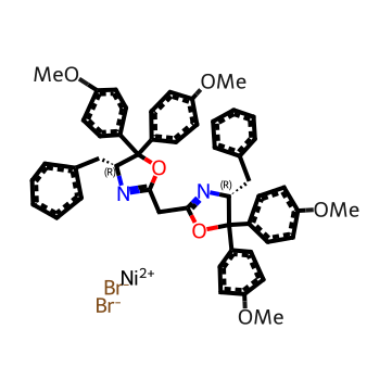 COc1ccc(C2(c3ccc(OC)cc3)OC(CC3=N[C@H](Cc4ccccc4)C(c4ccc(OC)cc4)(c4ccc(OC)cc4)O3)=N[C@@H]2Cc2ccccc2)cc1.[Br-].[Br-].[Ni+2]